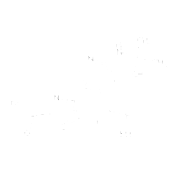 CC(C)(C)Nc1cc(C(F)F)c(-c2csc(C(=O)O)n2)cn1.[KH]